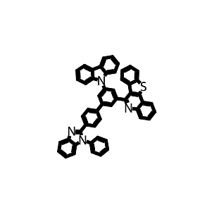 c1ccc(-n2c(-c3ccc(-c4cc(-c5nc6ccccc6c6sc7ccccc7c56)cc(-n5c6ccccc6c6ccccc65)c4)cc3)nc3ccccc32)cc1